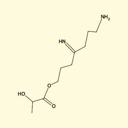 CC(O)C(=O)OCCCC(=N)CCCN